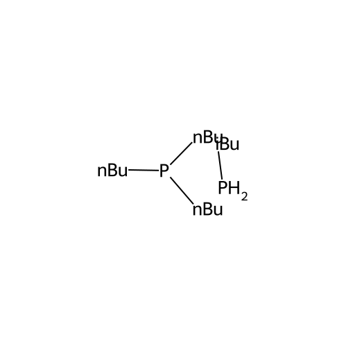 CCC(C)P.CCCCP(CCCC)CCCC